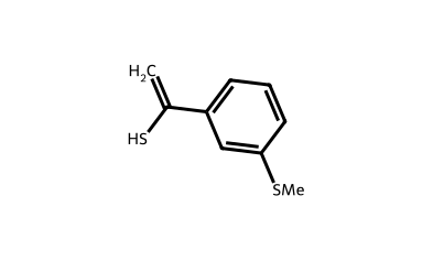 C=C(S)c1cccc(SC)c1